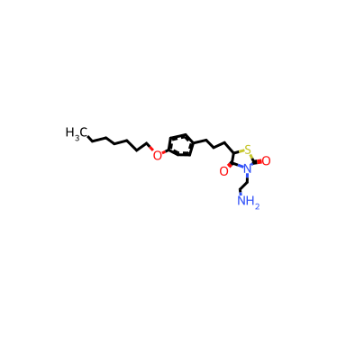 CCCCCCCOc1ccc(CCCC2SC(=O)N(CCN)C2=O)cc1